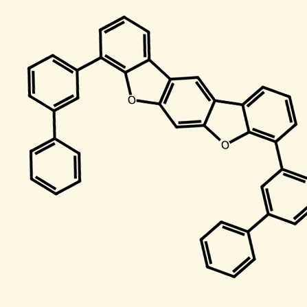 c1ccc(-c2cccc(-c3cccc4c3oc3cc5oc6c(-c7cccc(-c8ccccc8)c7)cccc6c5cc34)c2)cc1